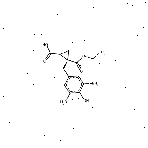 Bc1cc(C[C@]2(C(=O)OCC)CC2C(=O)O)cc(B)c1O